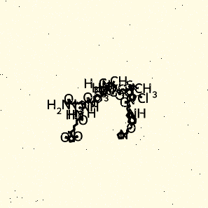 Cc1csc2c(OC(=O)N(C)CC(C)(C)CN(C)C(=O)OCc3ccc(NC(=O)C(CCCNC(N)=O)NC(=O)CNC(=O)CCCCCN4C(=O)C=CC4=O)cc3)cc3c(c12)[C@H](CCl)CN3C(=O)/C=C/c1cc2cc(OCCN3CCCC3)ccc2[nH]1